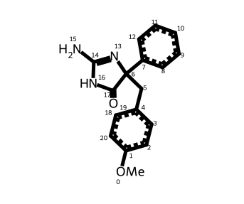 COc1ccc(CC2(c3ccccc3)N=C(N)NC2=O)cc1